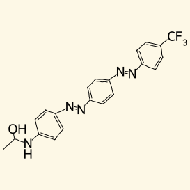 CC(O)Nc1ccc(N=Nc2ccc(N=Nc3ccc(C(F)(F)F)cc3)cc2)cc1